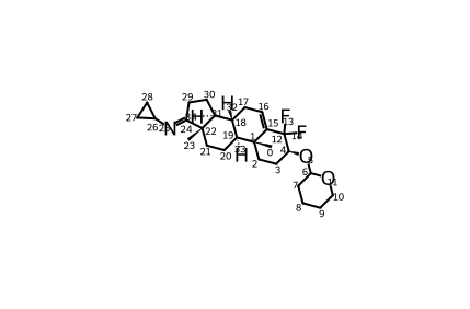 C[C@]12CC[C@H](OC3CCCCO3)C(F)(F)C1=CC[C@@H]1[C@@H]2CC[C@]2(C)C(=NC3CC3)CC[C@@H]12